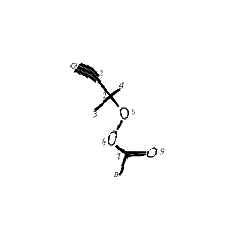 C#CC(C)(C)OOC(C)=O